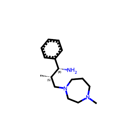 C[C@@H](CN1CCCN(C)CC1)[C@@H](N)c1ccccc1